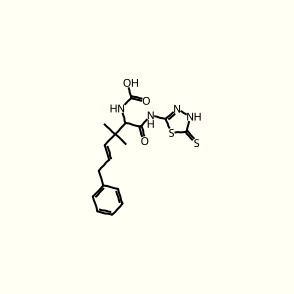 CC(C)(C=CCc1ccccc1)C(NC(=O)O)C(=O)Nc1n[nH]c(=S)s1